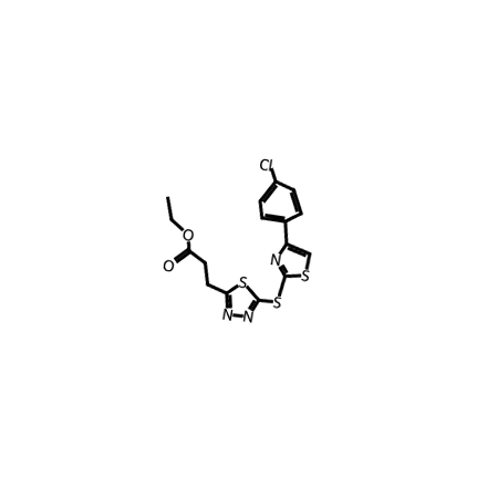 CCOC(=O)CCc1nnc(Sc2nc(-c3ccc(Cl)cc3)cs2)s1